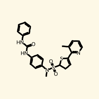 Cc1cccnc1C1=CCC(S(=O)(=O)N(C)c2ccc(NC(=O)Nc3ccccc3)cc2)S1